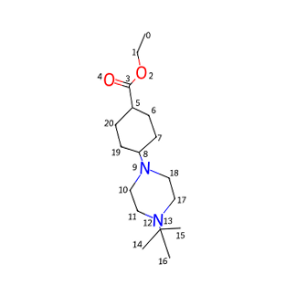 CCOC(=O)C1CCC(N2CCN(C(C)(C)C)CC2)CC1